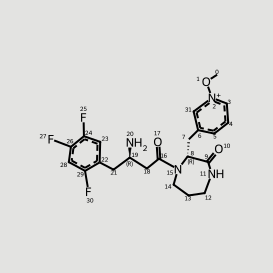 CO[n+]1cccc(C[C@@H]2C(=O)NCCCN2C(=O)C[C@H](N)Cc2cc(F)c(F)cc2F)c1